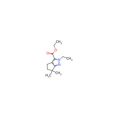 CCOC(=O)c1c2c(nn1CC)C(C)(C)CC2